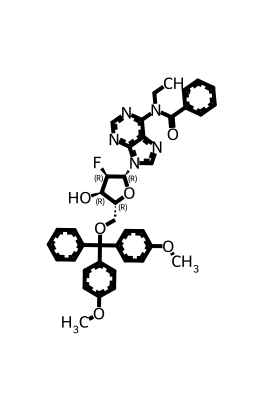 CCN(C(=O)c1ccccc1)c1ncnc2c1ncn2[C@@H]1O[C@H](COC(c2ccccc2)(c2ccc(OC)cc2)c2ccc(OC)cc2)[C@@H](O)[C@H]1F